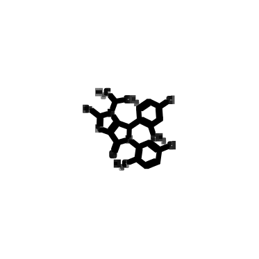 Cc1cc(Cl)ccc1C1c2c(nc(Br)n2C(C)C)C(=O)N1c1cc(Cl)ccc1C